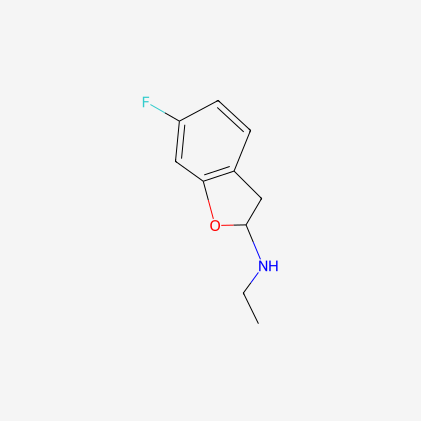 CCNC1Cc2ccc(F)cc2O1